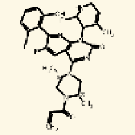 C=CC(=O)N1C[C@H](C)N(c2nc(=O)n(C3C(C)=CCNC3C(C)C)c3nc(-c4c(O)cccc4F)c(F)cc23)C[C@H]1C